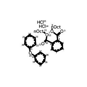 CCCCCCCCOC(=O)c1ccccc1C(=O)OCCCCCCCC.Cl.Cl.c1ccc(Oc2ccccc2)cc1